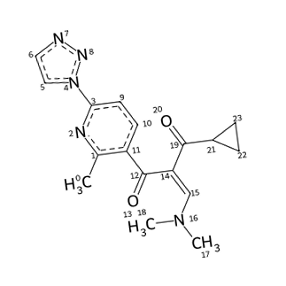 Cc1nc(-n2ccnn2)ccc1C(=O)/C(=C\N(C)C)C(=O)C1CC1